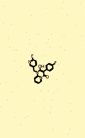 O=c1c(-c2ccc(F)cc2)c(O)n(Cc2ccc(F)nc2)c2cccc[n+]12